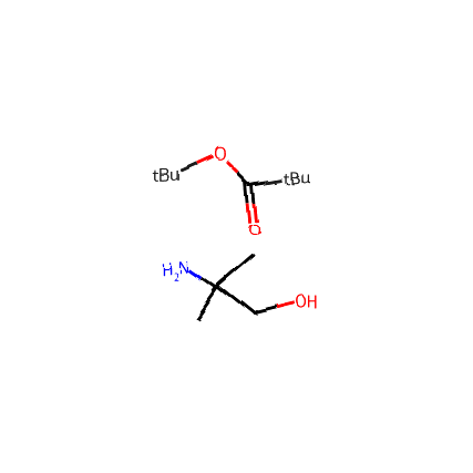 CC(C)(C)OC(=O)C(C)(C)C.CC(C)(N)CO